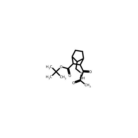 CC(=O)SCC1C2CCC1C(C(=O)OC(C)(C)C)C2C(=O)O